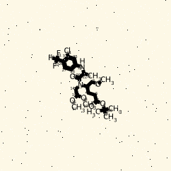 COCC(CCC(=O)OC(C)(C)C)N(CC(OC)OC)C(=O)C(C)Nc1ccc(C(F)(F)F)c(Cl)c1